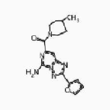 CC1CCN(C(=O)c2cc3nc(-c4ccco4)nn3c(N)n2)CC1